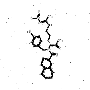 NC(=O)[C@@H](CCCNC(N)=N[N+](=O)[O-])N(Cc1ccc(O)cc1)C(=O)c1ccc2ccccc2c1